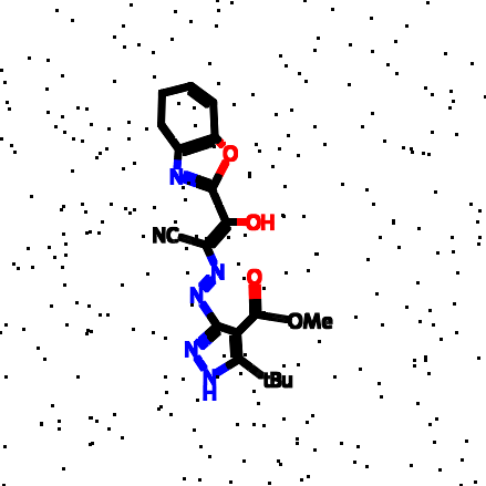 COC(=O)c1c(/N=N/C(C#N)=C(\O)c2nc3c(o2)C=CCC3)n[nH]c1C(C)(C)C